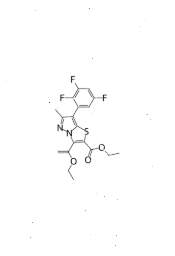 C=C(OCC)c1c(C(=O)OCC)sc2c(-c3cc(F)cc(F)c3F)c(C)nn12